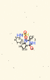 O=[SH](=O)NC1CCCCC1.O=c1[nH]c(C(F)(F)F)nc2ccccc12